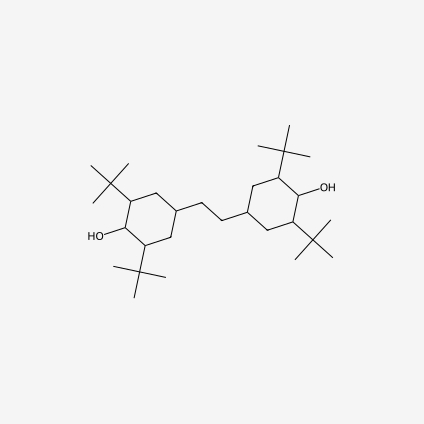 CC(C)(C)C1CC(CCC2CC(C(C)(C)C)C(O)C(C(C)(C)C)C2)CC(C(C)(C)C)C1O